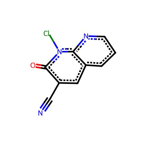 N#Cc1cc2cccnc2n(Cl)c1=O